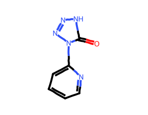 O=c1[nH]nnn1-c1ccccn1